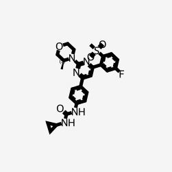 C[C@H]1COCCN1c1nc(-c2ccc(NC(=O)NC3CC3)cc2)cc(-c2cc(F)ccc2S(C)(=O)=O)n1